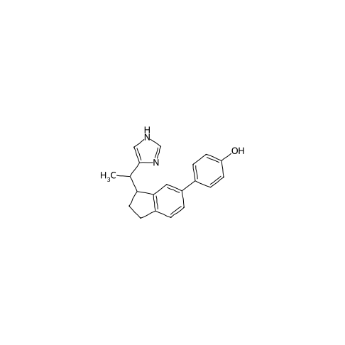 CC(c1c[nH]cn1)C1CCc2ccc(-c3ccc(O)cc3)cc21